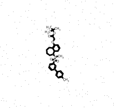 Cc1ccc(-c2cccc(S(=O)(=O)N(C)C3CCCCC4=C(OCC(=O)OC(C)(C)C)C=CCC43)c2)cc1